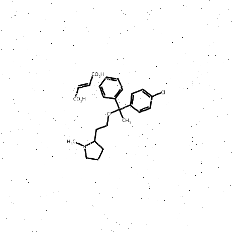 CN1CCCC1CCOC(C)(c1ccccc1)c1ccc(Cl)cc1.O=C(O)C=CC(=O)O